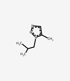 Cc1cnnn1CC(C)C